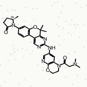 C[C@@H]1CCC(=O)N1c1ccc2c(c1)OC(C)(C)c1nc(Nc3cnc4c(c3)N(C(=O)CN(C)C)CCO4)ncc1-2